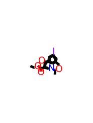 CCOC(=O)c1cn2c3c(cc(I)cc3c1=O)COC2C